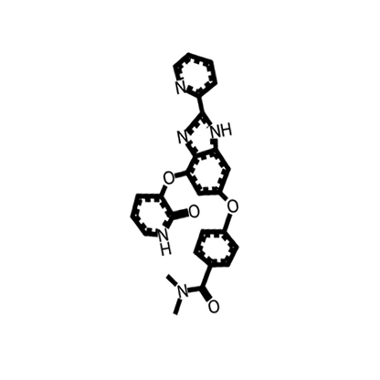 CN(C)C(=O)c1ccc(Oc2cc(Oc3ccc[nH]c3=O)c3nc(-c4ccccn4)[nH]c3c2)cc1